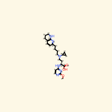 COc1nccc(N[C@@H](CCN(CCCCc2ccc3c(n2)NCCC3)C2CC2)C(=O)O)n1